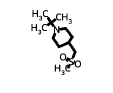 CC(C)(C)N1CCC(CS(C)(=O)=O)CC1